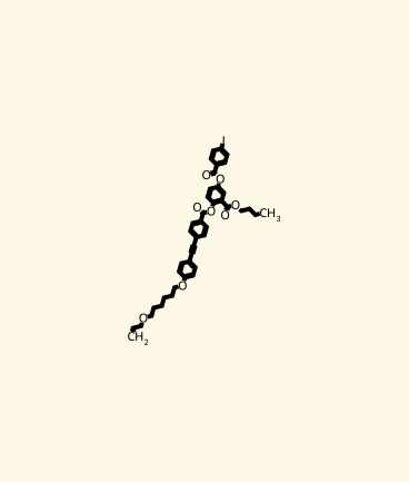 C=CCOCCCCCCOc1ccc(C#Cc2ccc(C(=O)Oc3ccc(OC(=O)c4ccc(I)cc4)cc3C(=O)OCCCC)cc2)cc1